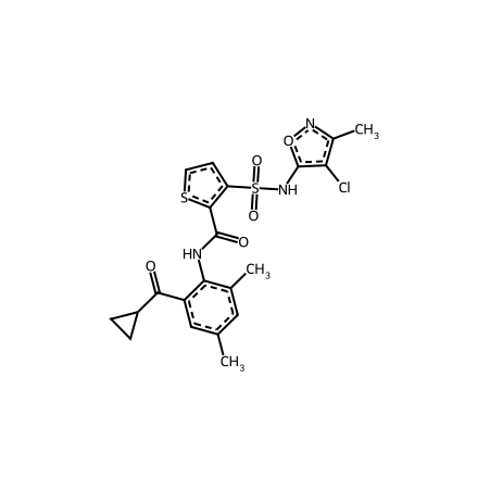 Cc1cc(C)c(NC(=O)c2sccc2S(=O)(=O)Nc2onc(C)c2Cl)c(C(=O)C2CC2)c1